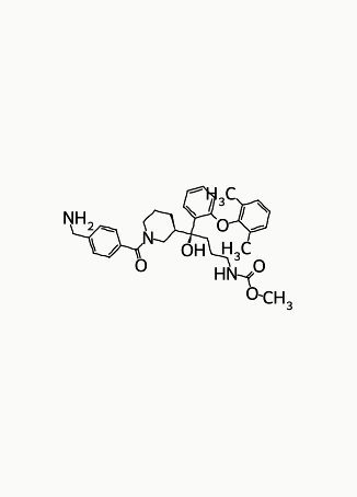 COC(=O)NCCC[C@@](O)(c1ccccc1Oc1c(C)cccc1C)[C@@H]1CCCN(C(=O)c2ccc(CN)cc2)C1